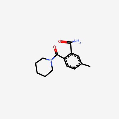 Cc1ccc(C(=O)N2CCCCC2)c(C(N)=O)c1